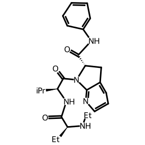 CCN[C@@H](CC)C(=O)N[C@H](C(=O)N1c2ncccc2C[C@H]1C(=O)Nc1ccccc1)C(C)C